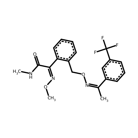 CNC(=O)C(=NOC)c1ccccc1CON=C(C)c1cccc(C(F)(F)F)c1